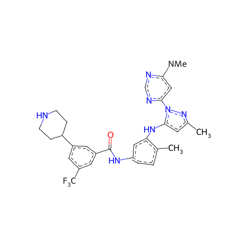 CNc1cc(-n2nc(C)cc2Nc2cc(NC(=O)c3cc(C4CCNCC4)cc(C(F)(F)F)c3)ccc2C)ncn1